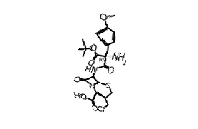 COc1ccc([C@@](N)(C(=O)NC2C(=O)N3C(C(=O)O)=C(CCl)CSC23)C(=O)OC(C)(C)C)cc1